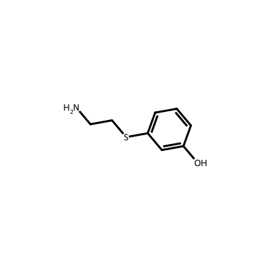 NCCSc1cccc(O)c1